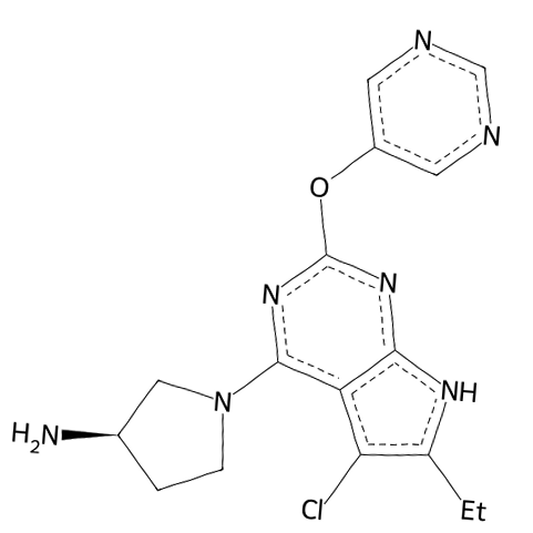 CCc1[nH]c2nc(Oc3cncnc3)nc(N3CC[C@@H](N)C3)c2c1Cl